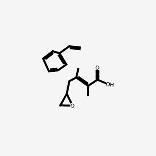 C=Cc1ccccc1.CC(CC1CO1)=C(C)C(=O)O